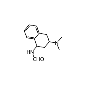 CN(C)C1Cc2ccccc2C(NC=O)C1